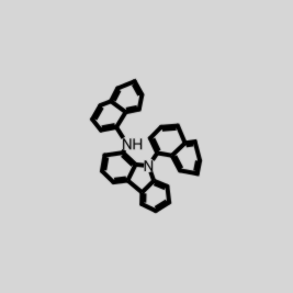 c1ccc2c(Nc3cccc4c5ccccc5n(-c5cccc6ccccc56)c34)cccc2c1